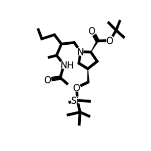 CCCC(CN1C[C@H](CO[Si](C)(C)C(C)(C)C)C[C@@H]1C(=O)OC(C)(C)C)C(C)NC(C)=O